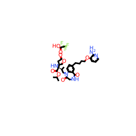 CC(C)OC(=O)[C@]1(C(C)CN2C(=O)CNC(=O)c3cc(CCCCOc4cccnc4N)ccc32)NC1(C=O)CC=O.O=C(O)C(F)(F)F